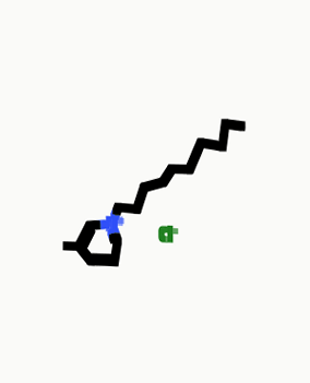 CCCCCCCCCC[n+]1cccc(C)c1.[Cl-]